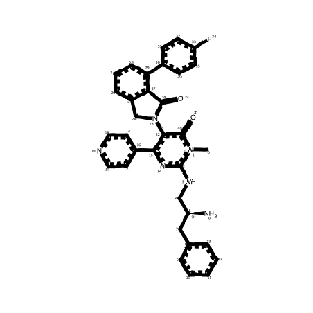 Cn1c(NC[C@@H](N)Cc2ccccc2)nc(-c2ccncc2)c(N2Cc3cccc(-c4ccc(F)cc4)c3C2=O)c1=O